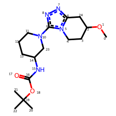 COC1CCn2c(nnc2N2CCCC(NC(=O)OC(C)(C)C)C2)C1